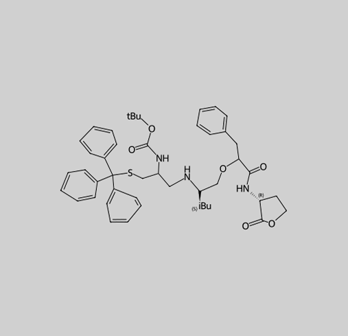 CC[C@H](C)C(COC(Cc1ccccc1)C(=O)N[C@@H]1CCOC1=O)NCC(CSC(c1ccccc1)(c1ccccc1)c1ccccc1)NC(=O)OC(C)(C)C